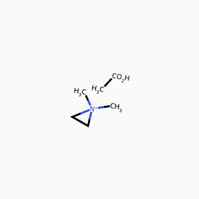 CC(=O)O.C[N+]1(C)CC1